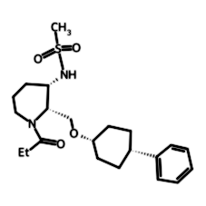 CCC(=O)N1CCC[C@H](NS(C)(=O)=O)[C@@H]1CO[C@H]1CC[C@@H](c2ccccc2)CC1